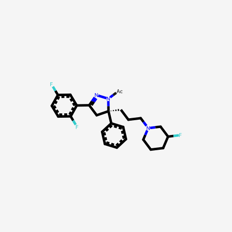 CC(=O)N1N=C(c2cc(F)ccc2F)C[C@]1(CCCN1CCCC(F)C1)c1ccccc1